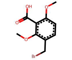 COc1ccc(CBr)c(OC)c1C(=O)O